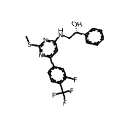 CSc1nc(NC[C@H](O)c2ccccc2)cc(-c2ccc(C(F)(F)F)c(F)c2)n1